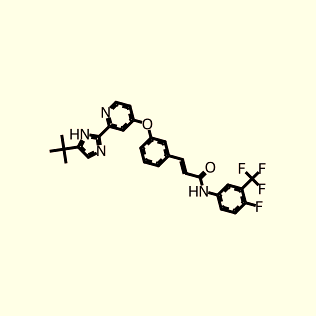 CC(C)(C)c1cnc(-c2cc(Oc3cccc(C=CC(=O)Nc4ccc(F)c(C(F)(F)F)c4)c3)ccn2)[nH]1